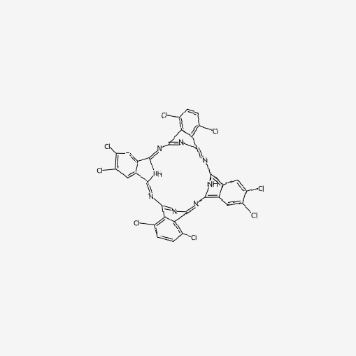 Clc1cc2c3nc4nc(nc5[nH]c(nc6nc(nc([nH]3)c2cc1Cl)-c1c(Cl)ccc(Cl)c1-6)c1cc(Cl)c(Cl)cc51)-c1c(Cl)ccc(Cl)c1-4